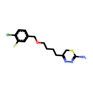 NC1=NN=C(CCCCOCc2ccc(Cl)c(F)c2)CS1